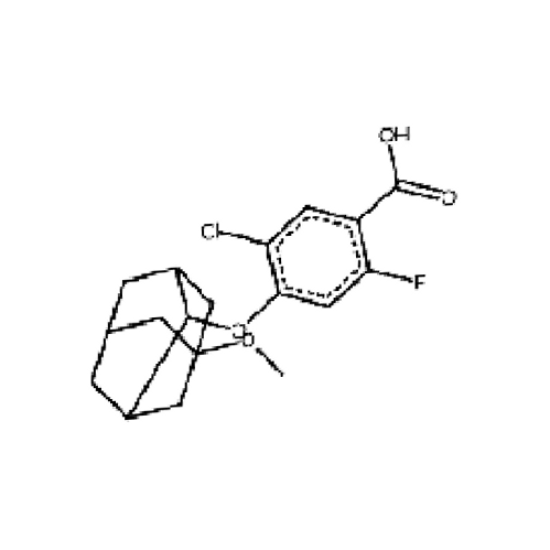 COC12CC3CC(C1)C(Oc1cc(F)c(C(=O)O)cc1Cl)C(C3)C2